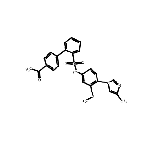 COc1cc(NS(=O)(=O)c2ccccc2-c2ccc(C(C)=O)cc2)ccc1-n1cnc(C)c1